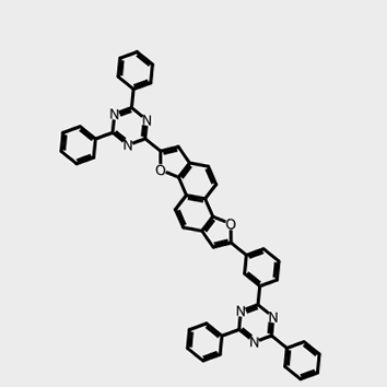 c1ccc(-c2nc(-c3ccccc3)nc(-c3cccc(-c4cc5ccc6c(ccc7cc(-c8nc(-c9ccccc9)nc(-c9ccccc9)n8)oc76)c5o4)c3)n2)cc1